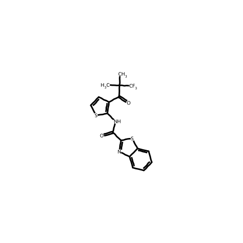 CC(C)(C(=O)c1ccsc1NC(=O)c1nc2ccccc2s1)C(F)(F)F